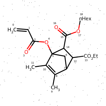 C=CC(=O)OC12CC(C(C)=C1C)C(C(=O)OCC)C2C(=O)OCCCCCC